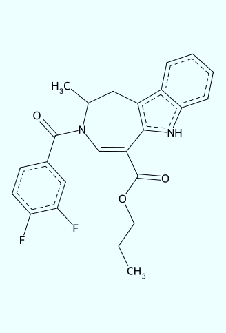 CCCOC(=O)C1=CN(C(=O)c2ccc(F)c(F)c2)C(C)Cc2c1[nH]c1ccccc21